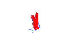 CCc1c2c(nc3ccc(OCCCNC(=O)OCc4ccc(NC(=O)[C@H](CCCCN)NC(=O)[C@H](Cc5ccccc5)NC(=O)CCOCCOCCOCCOCCOCCOCCOCCOCCOCCC(C)C)cc4)cc13)-c1cc3c(c(=O)n1C2)COC(=O)[C@]3(C)CC